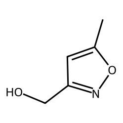 Cc1cc(CO)no1